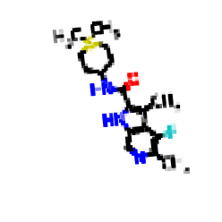 Cc1ncc2[nH]c(C(=O)NC3CCS(C)(C)CC3)c(C)c2c1F